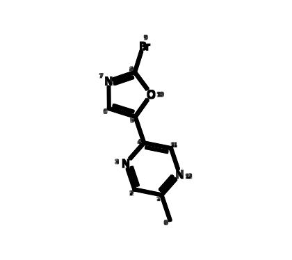 Cc1cnc(-c2cnc(Br)o2)cn1